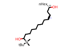 CCCCCC[C@H](O)C/C=C\CCCCCCCC(O)[Si](C)(C)C(C)(C)C